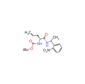 C=CC[C@H](NC(=O)OC(C)(C)C)C(=O)NC(C)c1ccccc1[N+](=O)[O-]